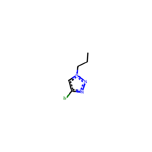 CCCn1cc(Br)nn1